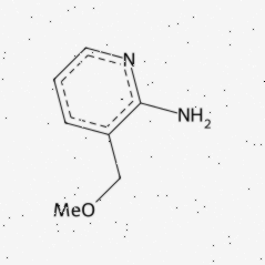 COCc1cccnc1N